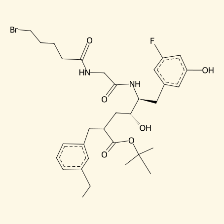 CCc1cccc(CC(C[C@@H](O)[C@H](Cc2cc(O)cc(F)c2)NC(=O)CNC(=O)CCCCBr)C(=O)OC(C)(C)C)c1